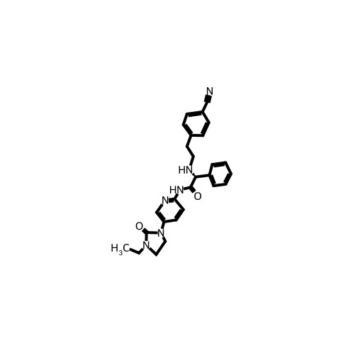 CCN1CCN(c2ccc(NC(=O)[C@@H](NCCc3ccc(C#N)cc3)c3ccccc3)nc2)C1=O